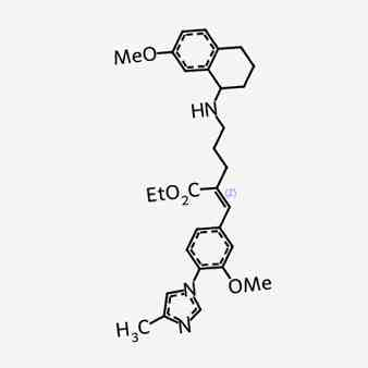 CCOC(=O)/C(=C\c1ccc(-n2cnc(C)c2)c(OC)c1)CCCNC1CCCc2ccc(OC)cc21